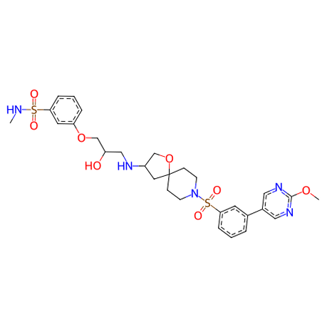 CNS(=O)(=O)c1cccc(OCC(O)CNC2COC3(CCN(S(=O)(=O)c4cccc(-c5cnc(OC)nc5)c4)CC3)C2)c1